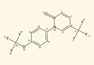 O=c1ccc(C(F)(F)F)cn1-c1ccc(OC(F)(F)F)cc1